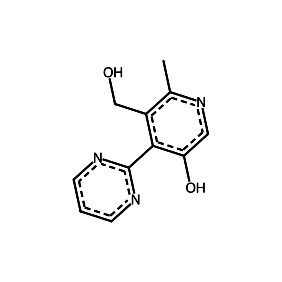 Cc1ncc(O)c(-c2ncccn2)c1CO